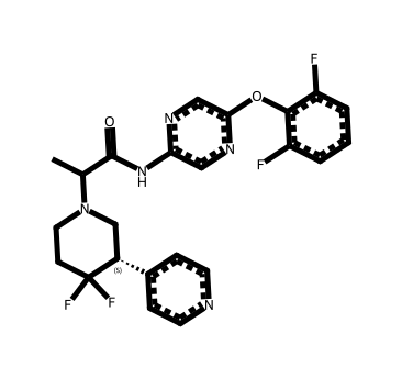 CC(C(=O)Nc1cnc(Oc2c(F)cccc2F)cn1)N1CCC(F)(F)[C@@H](c2ccncc2)C1